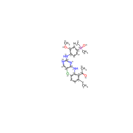 CCc1cccc(Nc2nc(Nc3ccc(P(C)(C)=O)cc3OC)ncc2Cl)c1C(C)=O